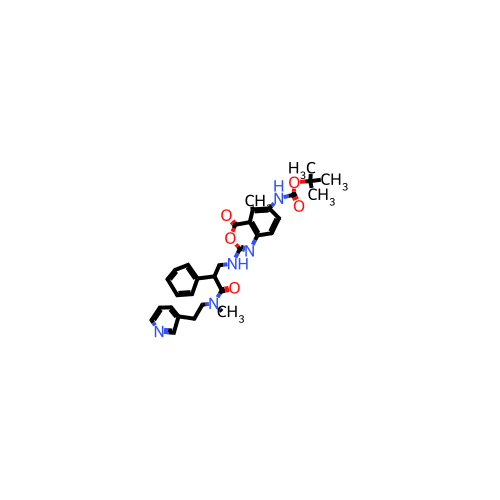 Cc1c(NC(=O)OC(C)(C)C)ccc2nc(NCC(C(=O)N(C)CCc3cccnc3)c3ccccc3)oc(=O)c12